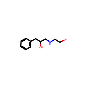 OCCNCC(O)Cc1ccccc1